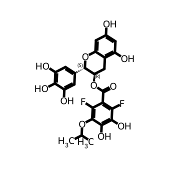 CC(C)Oc1c(O)c(O)c(F)c(C(=O)O[C@@H]2Cc3c(O)cc(O)cc3O[C@H]2c2cc(O)c(O)c(O)c2)c1F